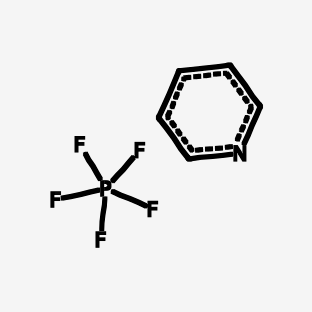 FP(F)(F)(F)F.c1ccncc1